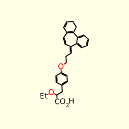 CCOC(Cc1ccc(OCCC=C2C=CC3=C(CCC=C3)c3ccccc32)cc1)C(=O)O